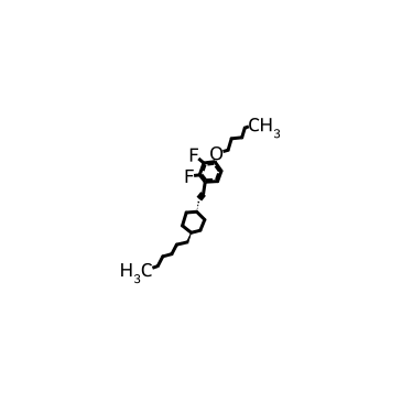 CCCCCC[C@H]1CC[C@H](C#Cc2ccc(OCCCCC)c(F)c2F)CC1